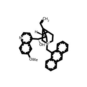 C=CC12C3CC[N+](Cc4c5ccccc5cc5ccccc45)(CC31)[C@@H]2[C@H](O)c1ccnc2ccc(OC)cc12